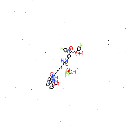 O=C(CCCCCCCCCCC(=O)Nc1ccccc1C(Nc1ccccn1)C(c1ccccn1)C(O)c1ccccc1)NCc1ccc(C2C(CCC(O)c3ccc(F)cc3)C(=O)N2c2ccc(F)cc2)cc1.O=C(O)C(F)(F)F